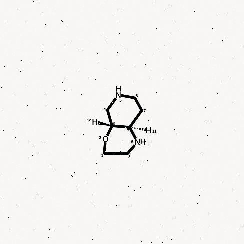 [CH]1CO[C@@H]2CNCC[C@H]2N1